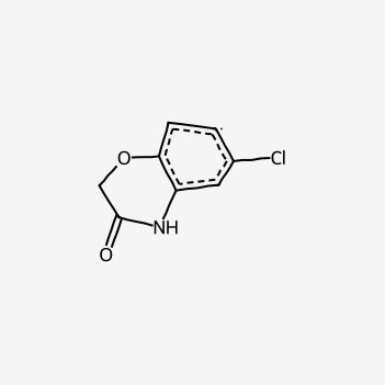 O=C1COc2c[c]c(Cl)cc2N1